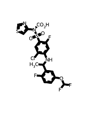 CC(Nc1cc(F)c(S(=O)(=O)N(C(=O)O)c2cscn2)cc1Cl)c1cc(OC(F)F)ccc1F